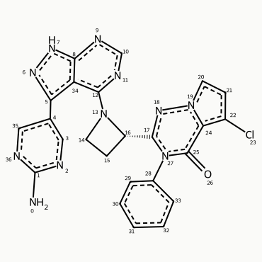 Nc1ncc(-c2n[nH]c3ncnc(N4CC[C@H]4c4nn5ccc(Cl)c5c(=O)n4-c4ccccc4)c23)cn1